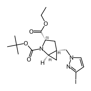 CCOC(=O)[C@@H]1C[C@@]2(Cn3ccc(I)n3)C[C@H]2N1C(=O)OC(C)(C)C